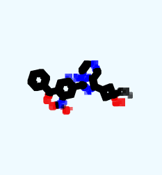 CC1(O)CC(C2=C3C=NC=C[N+]3(N)C(c3ccc(C(=O)c4ccccc4)c([N+](=O)[O-])c3)=N2)C1